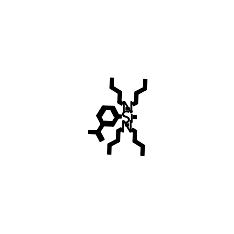 C=C(C)c1cccc([Si](C)(N(CCCC)CCCC)N(CCCC)CCCC)c1